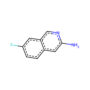 Nc1cc2ccc(F)cc2cn1